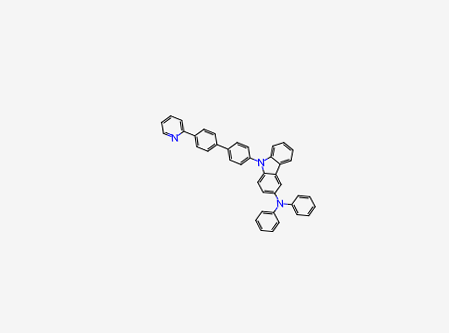 c1ccc(N(c2ccccc2)c2ccc3c(c2)c2ccccc2n3-c2ccc(-c3ccc(-c4ccccn4)cc3)cc2)cc1